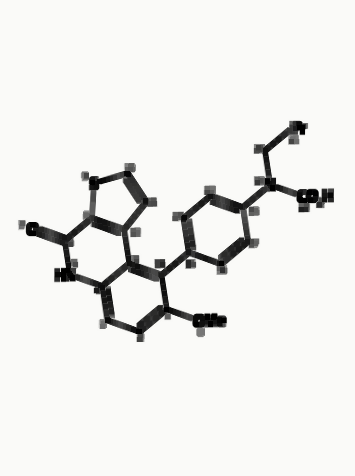 COc1ccc2[nH]c(=O)c3sccc3c2c1-c1ccc(N(CC(C)C)C(=O)O)cc1